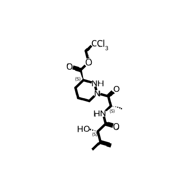 C=C(C)[C@H](O)C(=O)N[C@@H](C)C(=O)N1CCC[C@@H](C(=O)OCC(Cl)(Cl)Cl)N1